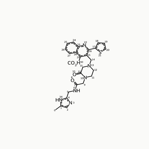 Cc1cnc(CNC(=O)CN2CCN(Cc3c(-c4cccs4)nc4ccccc4c3C(=O)O)CC2=O)[nH]1